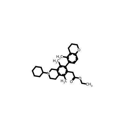 CCOC(=O)Cc1c(C)c2c(c(C)c1-c1ccc3c(c1C)CCCO3)CN(C1CCCCC1)CC2